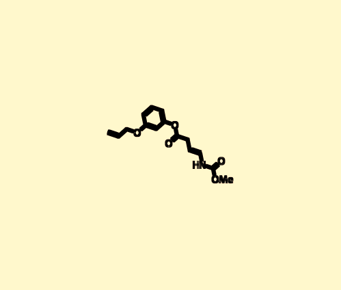 C=CCOc1cccc(OC(=O)C/C=C/NC(=O)OC)c1